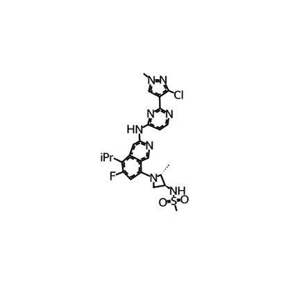 CC(C)c1c(F)cc(N2C[C@H](NS(C)(=O)=O)[C@H]2C)c2cnc(Nc3ccnc(-c4cn(C)nc4Cl)n3)cc12